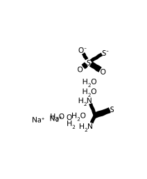 NC(N)=S.O.O.O.O.O.O=S(=O)([O-])[S-].[Na+].[Na+]